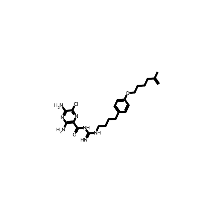 C=C(C)CCCCOc1ccc(CCCCNC(=N)NC(=O)c2nc(Cl)c(N)nc2N)cc1